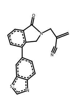 C=C(C#N)CN1Cc2c(cccc2-c2ccc3ncsc3c2)C1=O